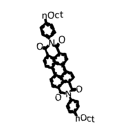 CCCCCCCCc1ccc(N2C(=O)c3ccc4c5ccc6c7c(ccc(c8ccc(c3c48)C2=O)c75)C(=O)N(c2ccc(CCCCCCCC)cc2)C6=O)cc1